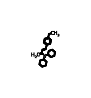 C=C(/C=C/c1ccc(CC)cc1)N(C1CCCCC1)C1CCCCC1